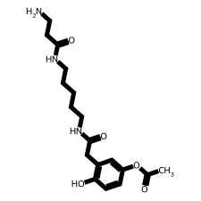 CC(=O)Oc1ccc(O)c(CC(=O)NCCCCCNC(=O)CCN)c1